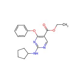 CCOC(=O)c1cnc(NC2CCCC2)nc1Oc1ccccc1